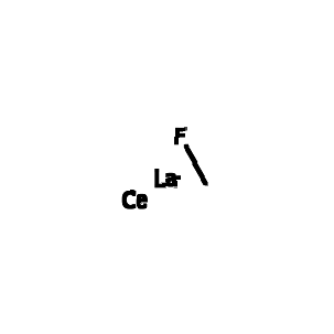 CF.[Ce].[La]